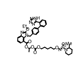 CCOc1nc2cccc(C(=O)OC(C)OC(=O)OCCCCCO/N=[N+](\OC)N3CCCCC3C)c2n1Cc1ccc(-c2ccccc2-c2nnn[nH]2)cc1